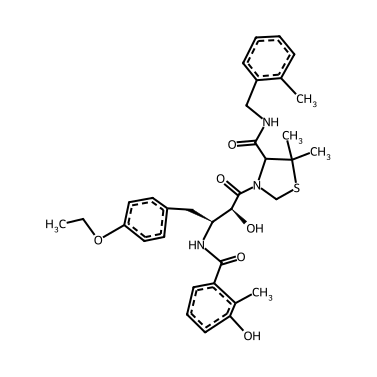 CCOc1ccc(C[C@H](NC(=O)c2cccc(O)c2C)[C@H](O)C(=O)N2CSC(C)(C)C2C(=O)NCc2ccccc2C)cc1